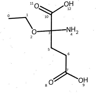 CCOC(N)(CCC(=O)O)C(=O)O